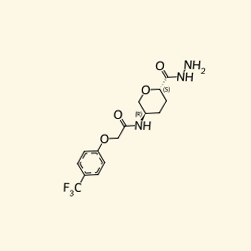 NNC(=O)[C@@H]1CC[C@@H](NC(=O)COc2ccc(C(F)(F)F)cc2)CO1